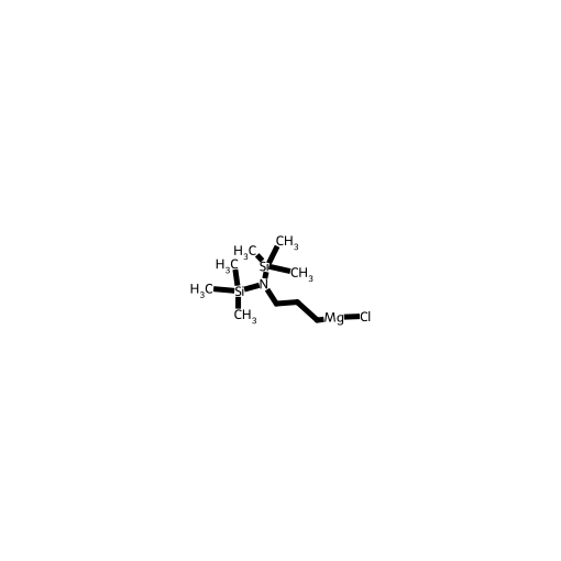 C[Si](C)(C)N(CC[CH2][Mg][Cl])[Si](C)(C)C